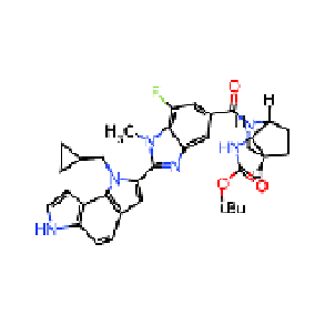 Cn1c(-c2cc3ccc4[nH]ccc4c3n2CC2CC2)nc2cc(C(=O)N3C[C@H]4CC[C@@H]3[C@@H]4NC(=O)OC(C)(C)C)cc(F)c21